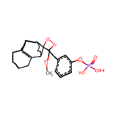 COC1(c2cccc(OP(=O)(O)O)c2)OOC12C1CCCC2C2=C(CCCC2)C1